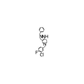 Fc1ccc(CN2CCC3=C(C2)CN(Cc2ccccc2)N3)cc1Cl